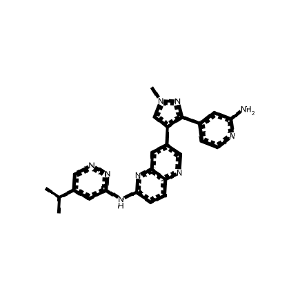 CC(C)c1cnnc(Nc2ccc3ncc(-c4cn(C)nc4-c4ccnc(N)c4)cc3n2)c1